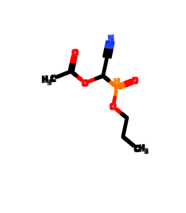 CCCO[PH](=O)C(C#N)OC(C)=O